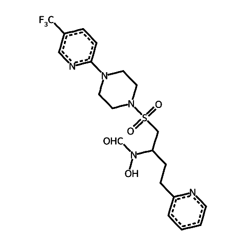 O=CN(O)C(CCc1ccccn1)CS(=O)(=O)N1CCN(c2ccc(C(F)(F)F)cn2)CC1